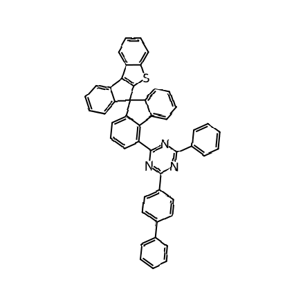 c1ccc(-c2ccc(-c3nc(-c4ccccc4)nc(-c4cccc5c4-c4ccccc4C54c5ccccc5-c5c4sc4ccccc54)n3)cc2)cc1